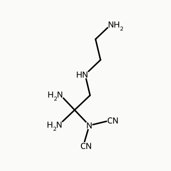 N#CN(C#N)C(N)(N)CNCCN